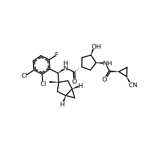 C[C@]1([C@H](NC(=O)[C@@H]2C[C@@H](O)[C@@H](NC(=O)[C@H]3C[C@H]3C#N)C2)c2c(F)ccc(Cl)c2Cl)C[C@H]2C[C@H]2C1